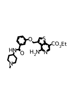 CCOC(=O)c1cnc(N)c2c(COc3cccc(C(=O)NC4CCN(C)CC4)c3)csc12